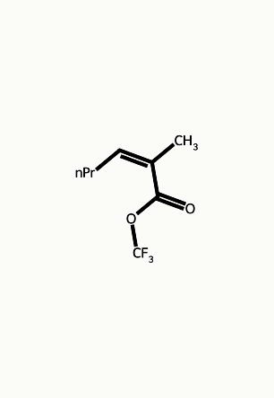 CCCC=C(C)C(=O)OC(F)(F)F